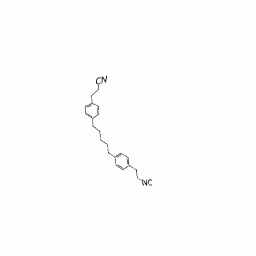 [C-]#[N+]CCc1ccc(CCCCCc2ccc(CCC#N)cc2)cc1